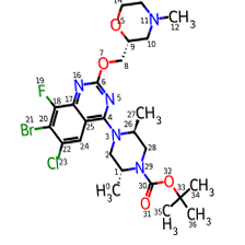 C[C@@H]1CN(c2nc(OC[C@H]3CN(C)CCO3)nc3c(F)c(Br)c(Cl)cc23)[C@@H](C)CN1C(=O)OC(C)(C)C